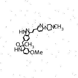 COc1ccc2c(c1)[C@@](C)(Cc1ccc3c(/C=C/c4ccc(N5CCN(C)CC5)nc4)n[nH]c3c1)C(=O)N2